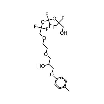 Cc1ccc(OCC(O)COCCOCC(F)(F)OC(F)(F)OC(F)(F)CO)cc1